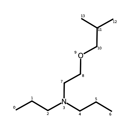 CCCN(CCC)CCOCC(C)C